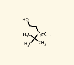 C[P@@](CCO)C(C)(C)C